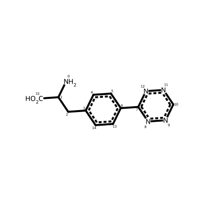 NC(Cc1ccc(-c2nncnn2)cc1)C(=O)O